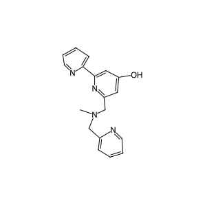 CN(Cc1ccccn1)Cc1cc(O)cc(-c2ccccn2)n1